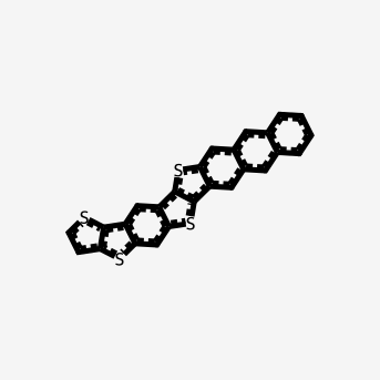 c1ccc2cc3cc4c(cc3cc2c1)sc1c2cc3c(cc2sc41)sc1ccsc13